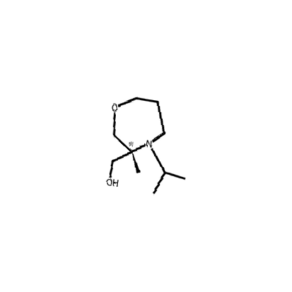 CC(C)N1CCCOC[C@@]1(C)CO